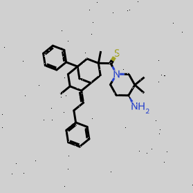 CC1CC2(c3ccccc3)CC(CC(C)(C(=S)N3CC[C@H](N)C(C)(C)C3)C2)/C1=C/Cc1ccccc1